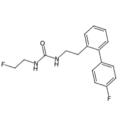 O=C(NCCF)NCCc1ccccc1-c1ccc(F)cc1